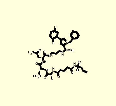 C=CCC(CC)(CC)NC(=O)CCCC(=O)N[C@@H](C)C(=O)N[C@H](CC(=O)O)C(=O)N[C@@H](CC(N)=O)C(=O)NCCCN[C@@H](c1cc(-c2cc(F)ccc2F)cn1Cc1ccccc1)C(C)(C)C